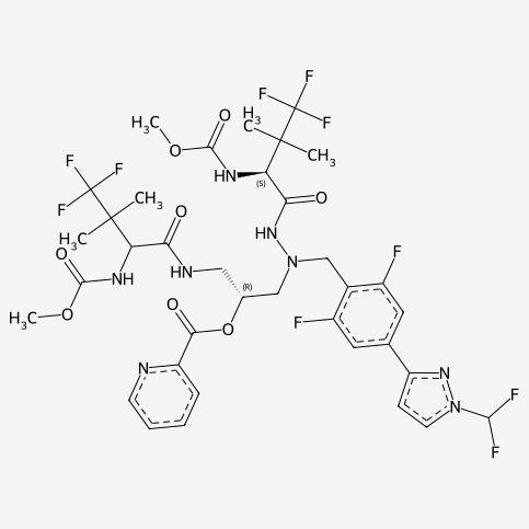 COC(=O)NC(C(=O)NC[C@H](CN(Cc1c(F)cc(-c2ccn(C(F)F)n2)cc1F)NC(=O)[C@@H](NC(=O)OC)C(C)(C)C(F)(F)F)OC(=O)c1ccccn1)C(C)(C)C(F)(F)F